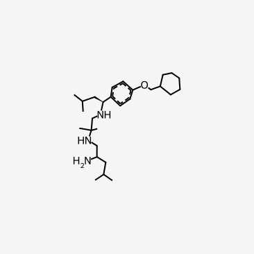 CC(C)CC(N)CNC(C)(C)CN[C@@H](CC(C)C)c1ccc(OCC2CCCCC2)cc1